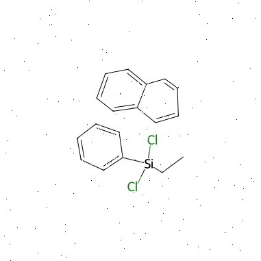 CC[Si](Cl)(Cl)c1ccccc1.c1ccc2ccccc2c1